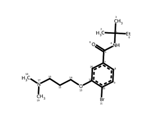 CCC(C)(C)NC(=O)c1ccc(Br)c(OCCCN(C)C)c1